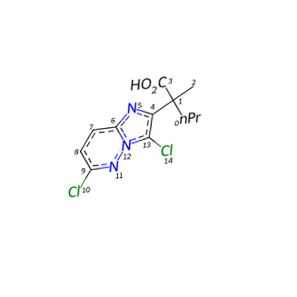 CCCC(C)(C(=O)O)c1nc2ccc(Cl)nn2c1Cl